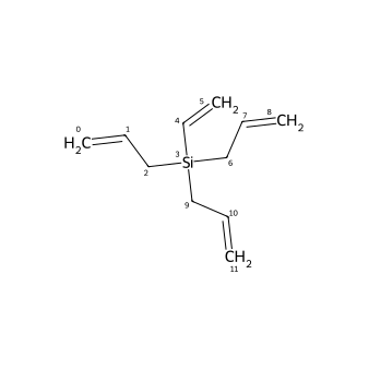 C=CC[Si](C=C)(CC=C)CC=C